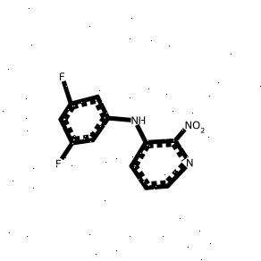 O=[N+]([O-])c1ncccc1Nc1cc(F)cc(F)c1